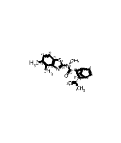 CC(=O)[C@H]1C2C=CC(C2)[C@H]1C(=O)N(O)c1nc2c(C)c(C)ccc2s1